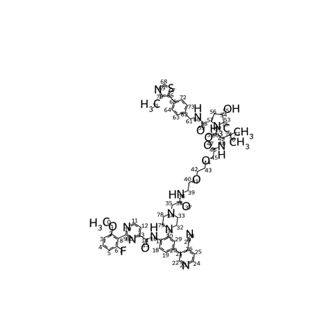 COc1cccc(F)c1-c1nccc(C(=O)Nc2ccc(-c3cnccc3C#N)cc2N2CCN(CC(=O)NCCOCCOCC(=O)N[C@H](C(=O)N3C[C@H](O)C[C@H]3C(=O)NCc3ccc(-c4scnc4C)cc3)C(C)(C)C)CC2)n1